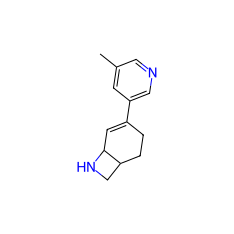 Cc1cncc(C2=CC3NCC3CC2)c1